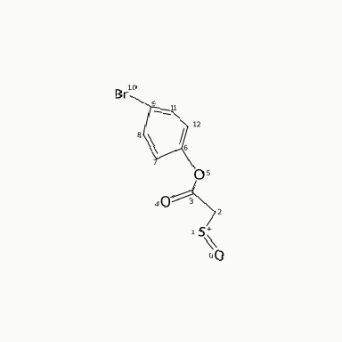 O=[S+]CC(=O)Oc1ccc(Br)cc1